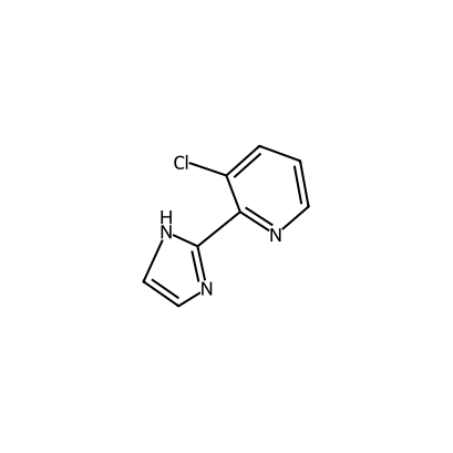 Clc1cccnc1-c1ncc[nH]1